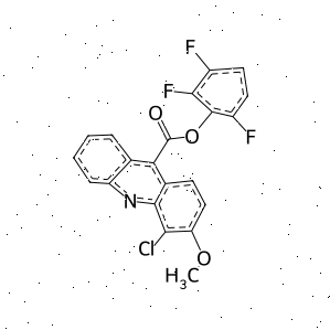 COc1ccc2c(C(=O)Oc3c(F)ccc(F)c3F)c3ccccc3nc2c1Cl